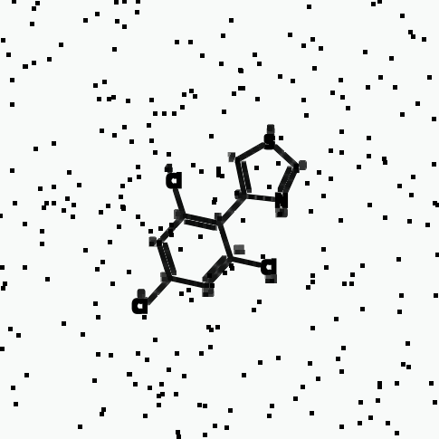 Clc1cc(Cl)c(-c2cs[c]n2)c(Cl)c1